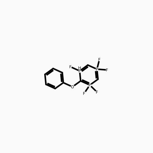 F[PH]1=CP(F)(F)=CP(F)(F)=C1Oc1ccccc1